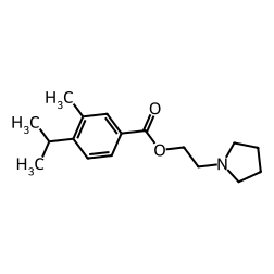 Cc1cc(C(=O)OCCN2CCCC2)ccc1C(C)C